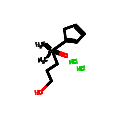 Cl.Cl.[CH3][Zr](=[O])(=[SiH2])([CH2]CCO)[C]1=CC=CC1